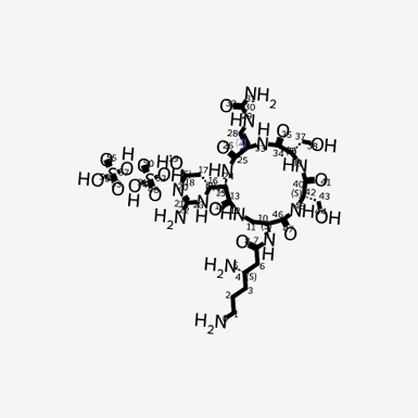 NCCC[C@H](N)CC(=O)N[C@H]1CNC(=O)[C@H]([C@H]2C[C@H](O)N=C(N)N2)NC(=O)/C(=C/NC(N)=O)NC(=O)[C@H](CO)NC(=O)[C@H](CO)NC1=O.O=S(=O)(O)O.O=S(=O)(O)O